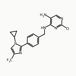 Nc1cnc(Cl)nc1NCc1ccc(-c2nc(C(F)(F)F)cn2C2CC2)cc1